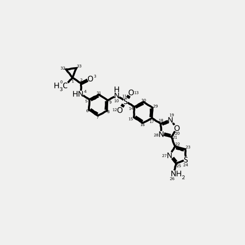 CC1(C(=O)Nc2cccc(NS(=O)(=O)c3ccc(-c4noc(-c5csc(N)n5)n4)cc3)c2)CC1